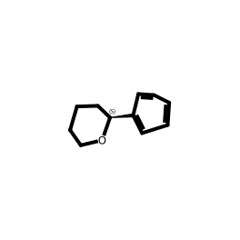 c1ccc([C@@H]2CCCCO2)cc1